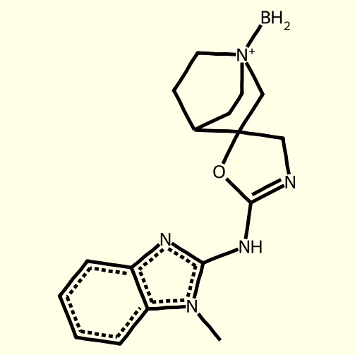 B[N+]12CCC(CC1)C1(CN=C(Nc3nc4ccccc4n3C)O1)C2